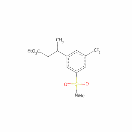 CCOC(=O)CC(C)c1cc(C(F)(F)F)cc(S(=O)(=O)NC)c1